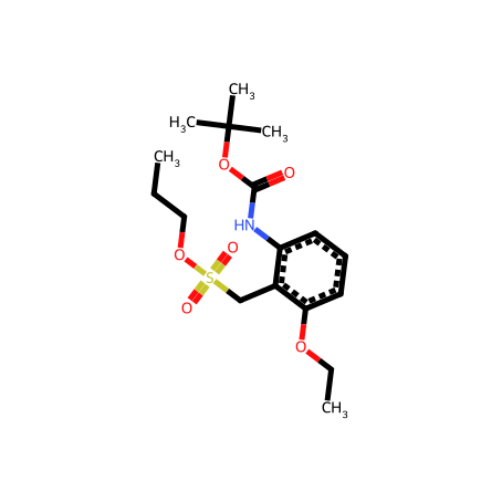 CCCOS(=O)(=O)Cc1c(NC(=O)OC(C)(C)C)cccc1OCC